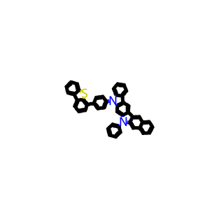 c1ccc(-n2c3cc4ccccc4cc3c3cc4c5ccccc5n(-c5ccc(-c6cccc7c6sc6ccccc67)cc5)c4cc32)cc1